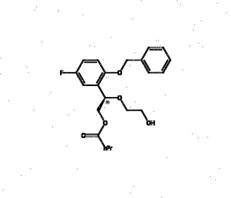 CCCC(=O)OC[C@H](OCCO)c1cc(F)ccc1OCc1ccccc1